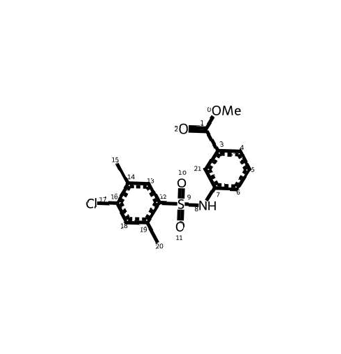 COC(=O)c1cccc(NS(=O)(=O)c2cc(C)c(Cl)cc2C)c1